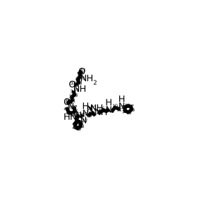 N=N/C(=C\NCCCNCCCNC1CCCCC1)CNc1nc(NC2CCN(C(=O)CCCCNC(=O)CCC(N)C=O)CC2)c2ccccc2n1